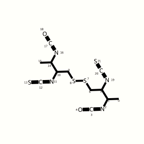 CC(N=C=O)C(CSSCC(N=C=S)C(C)N=C=O)N=C=S